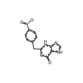 O=c1nc(Cc2ccc([N+](=O)[O-])cc2)[nH]c2nc[nH]c12